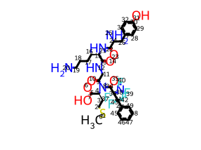 CSCC[C@@H](C(=O)O)N(C(=O)CNC(=O)[C@@H](CCCCN)NC(=O)[C@@H](N)Cc1ccc(O)cc1)C(=O)[C@@](F)(N(F)F)C(F)(F)c1ccccc1